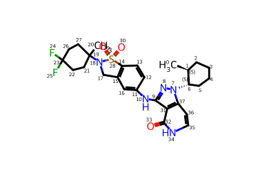 C[C@H]1CCCC[C@@H]1n1nc(Nc2ccc3c(c2)CN(C2(C)CCC(F)(F)CC2)S3(=O)=O)c2c(=O)[nH]ccc21